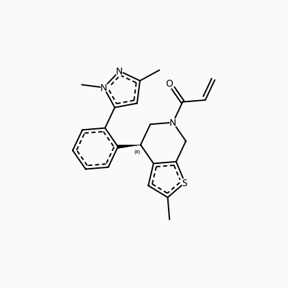 C=CC(=O)N1Cc2sc(C)cc2[C@@H](c2ccccc2-c2cc(C)nn2C)C1